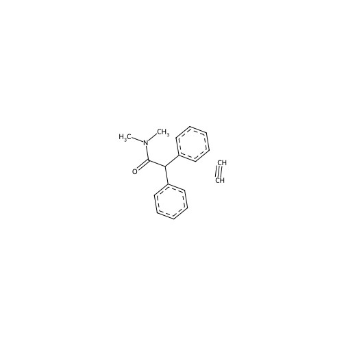 C#C.CN(C)C(=O)C(c1ccccc1)c1ccccc1